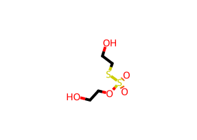 O=S(=O)(OCCO)SCCO